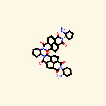 NC1CCCC[C@@H]1N1C(=O)c2ccc3c4c(ccc(c24)C1=O)C(=O)N(C1CCCC[C@@H]1N1C(=O)c2ccc4c5c(ccc(c25)C1=O)C(=O)N([C@H]1CCCC[C@@H]1N)C4=O)C3=O